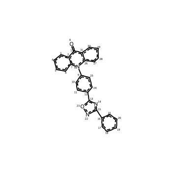 O=c1c2ccccc2n(-c2ccc(-c3nc(-c4ccccc4)no3)cc2)c2ccccc12